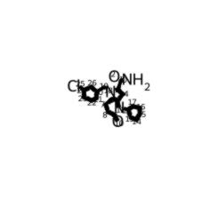 NC(=O)c1cc2c(ccc(=O)n2-c2ccccc2)n1Cc1cccc(Cl)c1